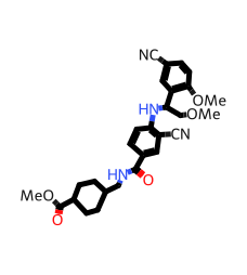 COCC(Nc1ccc(C(=O)NCC2CCC(C(=O)OC)CC2)cc1C#N)c1cc(C#N)ccc1OC